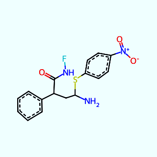 NC(CC(C(=O)NF)c1ccccc1)Sc1ccc([N+](=O)[O-])cc1